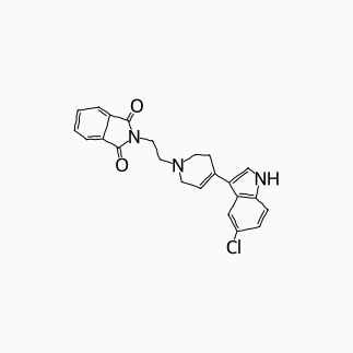 O=C1c2ccccc2C(=O)N1CCN1CC=C(c2c[nH]c3ccc(Cl)cc23)CC1